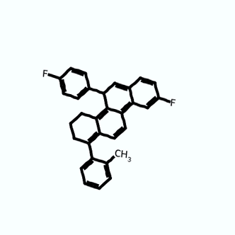 Cc1ccccc1C1=c2ccc3c(c2CCC1)C(c1ccc(F)cc1)C=c1ccc(F)cc1=3